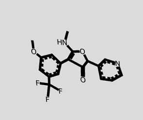 CNC1=C(c2cc(OC)cc(C(F)(F)F)c2)C(=O)C(c2cccnc2)O1